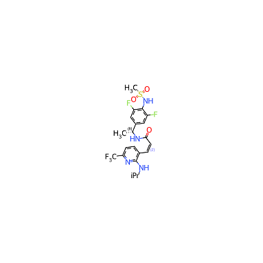 CC(C)Nc1nc(C(F)(F)F)ccc1/C=C\C(=O)N[C@H](C)c1cc(F)c(NS(C)(=O)=O)c(F)c1